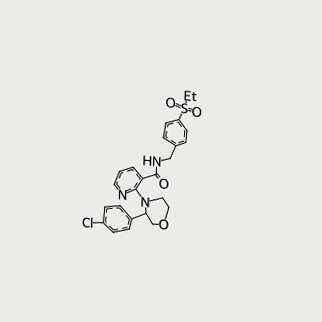 CCS(=O)(=O)c1ccc(CNC(=O)c2cccnc2N2CCOCC2c2ccc(Cl)cc2)cc1